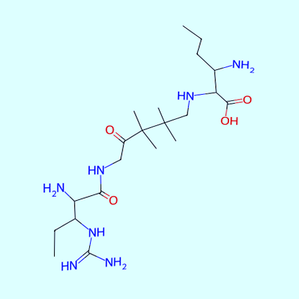 CCCC(N)C(NCC(C)(C)C(C)(C)C(=O)CNC(=O)C(N)C(CC)NC(=N)N)C(=O)O